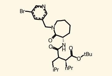 CCC[C@H](C(=O)OC(C)(C)C)C(CC(C)C)C(=O)N[C@H]1CCCCN(Cc2cncc(Br)c2)C1=O